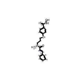 CN(CCCOc1ccc(C(=S)NO)cc1)C(=O)/C=C/c1ccccc1